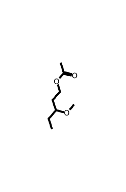 CCC(CCOC(C)=O)OC